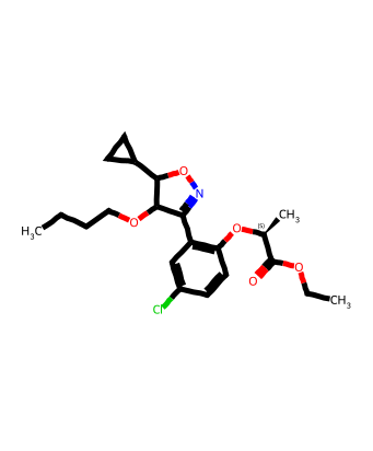 CCCCOC1C(c2cc(Cl)ccc2O[C@@H](C)C(=O)OCC)=NOC1C1CC1